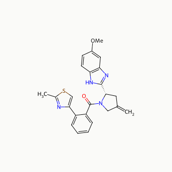 C=C1C[C@@H](c2nc3cc(OC)ccc3[nH]2)N(C(=O)c2ccccc2-c2csc(C)n2)C1